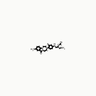 NC[C@@H](CNc1ccc(N2CCn3c(=O)c4cc(N)ccc4n3CC2)c(F)c1)OC=O